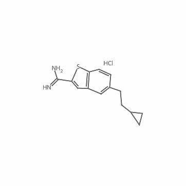 Cl.N=C(N)c1cc2cc(CCC3CC3)ccc2s1